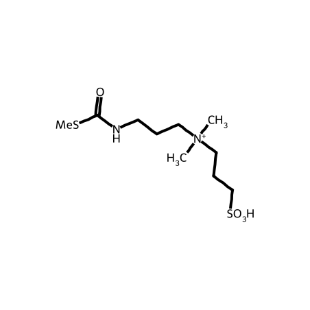 CSC(=O)NCCC[N+](C)(C)CCCS(=O)(=O)O